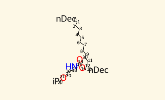 CCCCCCCCCCCCCCCCCCCC(CCCCCCCCCCCC)OC(=O)NCCCOC(C)C